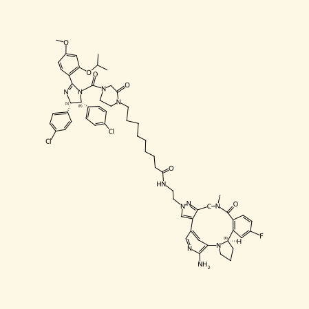 COc1ccc(C2=N[C@@H](c3ccc(Cl)cc3)[C@@H](c3ccc(Cl)cc3)N2C(=O)N2CCN(CCCCCCCCC(=O)NCCn3cc4c(n3)CN(C)C(=O)c3ccc(F)cc3[C@H]3CCCN3c3cc-4cnc3N)C(=O)C2)c(OC(C)C)c1